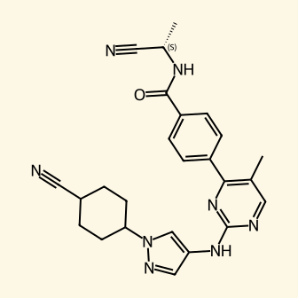 Cc1cnc(Nc2cnn(C3CCC(C#N)CC3)c2)nc1-c1ccc(C(=O)N[C@@H](C)C#N)cc1